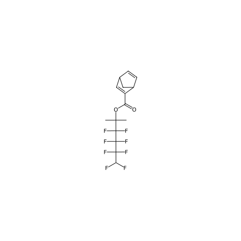 CC(C)(OC(=O)C1=CC2C=CC1C2)C(F)(F)C(F)(F)C(F)(F)C(F)F